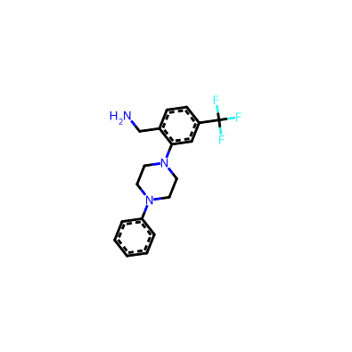 NCc1ccc(C(F)(F)F)cc1N1CCN(c2ccccc2)CC1